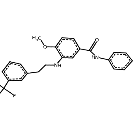 COc1ccc(C(=O)Nc2ccccc2)cc1NCCc1cccc(C(F)(F)F)c1